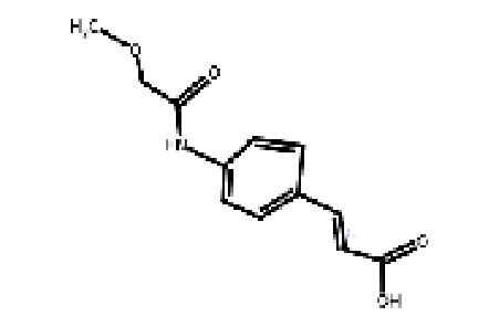 COCC(=O)Nc1ccc(/C=C/C(=O)O)cc1